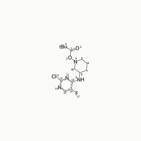 CC(C)(C)C(=O)ON1CCCC(Nc2nc(Cl)ncc2F)C1